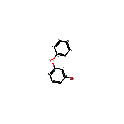 Brc1cccc(Oc2c[c]ccc2)c1